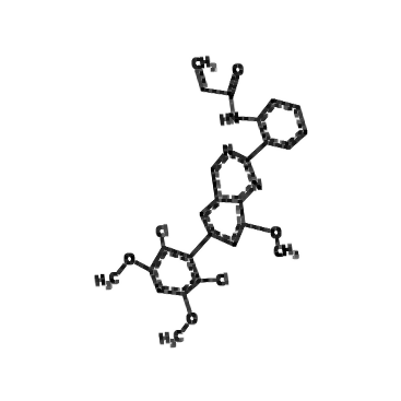 C=CC(=O)Nc1ccccc1-c1ncc2cc(-c3c(Cl)c(OC)cc(OC)c3Cl)cc(OC)c2n1